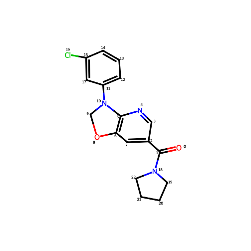 O=C(c1cnc2c(c1)OCN2c1cccc(Cl)c1)N1CCCC1